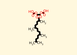 C=C(CCCC(C)CCCC(C)CCCC(C)C)C1O[C@H](OC(=O)O)[C@@H](OC(=O)O)O1